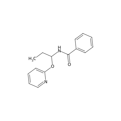 CCC(NC(=O)c1ccccc1)Oc1ccccn1